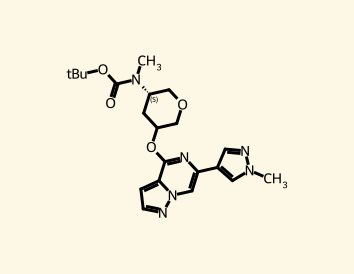 CN(C(=O)OC(C)(C)C)[C@@H]1COCC(Oc2nc(-c3cnn(C)c3)cn3nccc23)C1